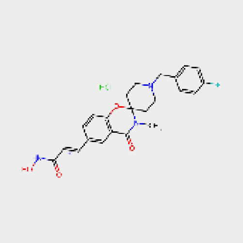 CN1C(=O)c2cc(/C=C/C(=O)NO)ccc2OC12CCN(Cc1ccc(F)cc1)CC2.Cl